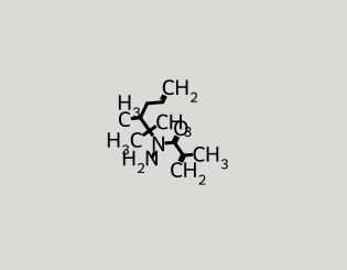 C=CCC(C)C(C)(C)N(N)C(=O)C(=C)C